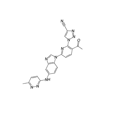 CC(=O)c1ccc(-n2cnc3cc(Nc4ccc(C)nn4)ccc32)nc1-n1cc(C#N)nn1